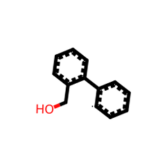 OCc1ccccc1-c1[c]cccc1